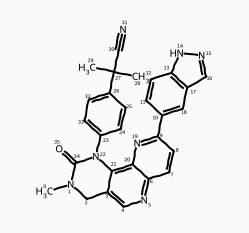 CN1Cc2cnc3ccc(-c4ccc5[nH]ncc5c4)nc3c2N(c2ccc(C(C)(C)C#N)cc2)C1=O